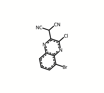 N#CC(C#N)c1nc2cccc(Br)c2nc1Cl